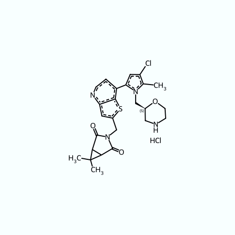 Cc1c(Cl)cc(-c2ccnc3cc(CN4C(=O)C5C(C4=O)C5(C)C)sc23)n1C[C@@H]1CNCCO1.Cl